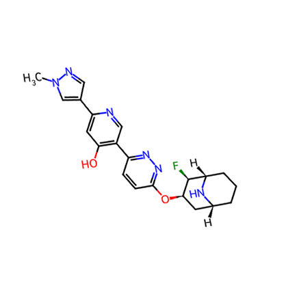 Cn1cc(-c2cc(O)c(-c3ccc(O[C@@H]4C[C@H]5CCC[C@H](N5)[C@@H]4F)nn3)cn2)cn1